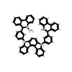 CN1c2ccccc2-c2ccccc2C1c1cccc(-n2c3ccccc3c3c4c5ccccc5n(-c5cccc(C6Nc7ccccc7-c7ccccc76)c5)c4ccc32)c1